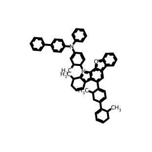 CC1CC=CC=C1C1=CC=C(c2cc3c4ccccc4oc3c3c2c2c(n3C3C=CC(N(c4ccccc4)c4ccc(-c5ccccc5)cc4)=CC3C)C(C)CC=C2)C(C)C1